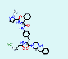 CCC(=O)N[C@H](Cc1ccc(NC(=O)[C@@H](NC(=O)c2ccnn2C)C2CCCCC2)cc1)C(=O)N1CCN[C@H](Cc2ccccc2)C1.Cl